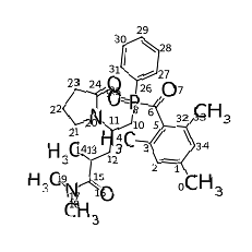 Cc1cc(C)c(C(=O)P(=O)(CC(CC(C)C(=O)N(C)C)N2CCCC2=O)c2ccccc2)c(C)c1